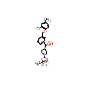 Cc1ccc(OCc2cccc(C(O)C3CCN(C(=O)OC(C)(C)C)CC3)c2)c(Cl)c1